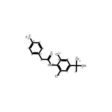 CC(O)(c1cc(Cl)c(NC(=O)Cc2ccc(C(F)(F)F)cc2)c(Cl)c1)C(F)(F)F